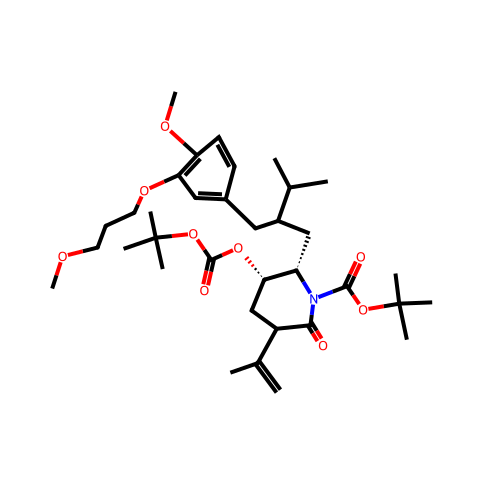 C=C(C)C1C[C@H](OC(=O)OC(C)(C)C)[C@H](CC(Cc2ccc(OC)c(OCCCOC)c2)C(C)C)N(C(=O)OC(C)(C)C)C1=O